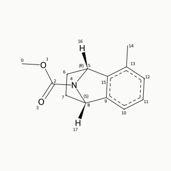 COC(=O)N1[C@@H]2CC[C@H]1c1cccc(C)c12